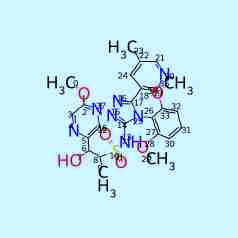 COc1cnc(C(O)C(C)S(=O)(=O)Nc2nnc(-c3cncc(C)c3)n2-c2c(OC)cccc2OC)cn1